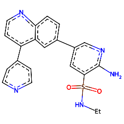 CCNS(=O)(=O)c1cc(-c2ccc3nccc(-c4ccncc4)c3c2)cnc1N